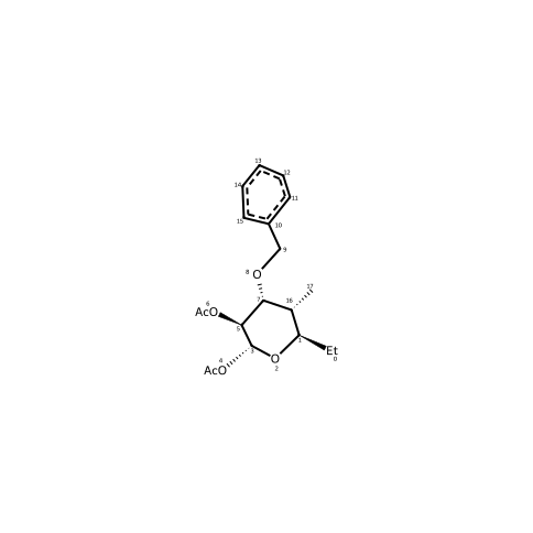 CC[C@H]1O[C@H](OC(C)=O)[C@@H](OC(C)=O)[C@H](OCc2ccccc2)[C@@H]1C